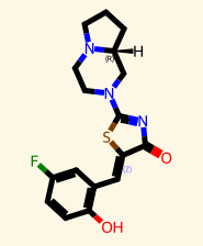 O=C1N=C(N2CCN3CCC[C@@H]3C2)S/C1=C\c1cc(F)ccc1O